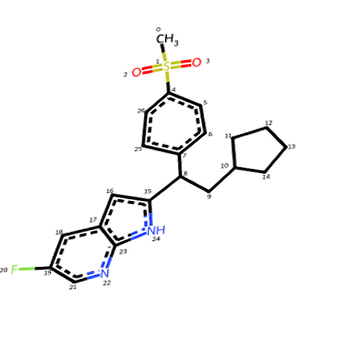 CS(=O)(=O)c1ccc(C(CC2CCCC2)c2cc3cc(F)cnc3[nH]2)cc1